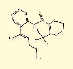 CCCC=C(C)c1ccccc1NC(=O)C1=C(C(F)(F)F)OCCS1